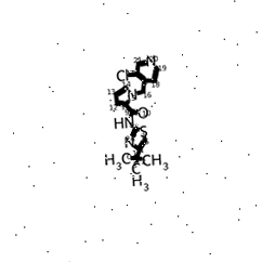 CC(C)(C)c1csc(NC(=O)c2cccn2Cc2ccncc2Cl)n1